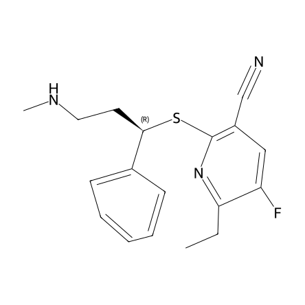 CCc1nc(S[C@H](CCNC)c2ccccc2)c(C#N)cc1F